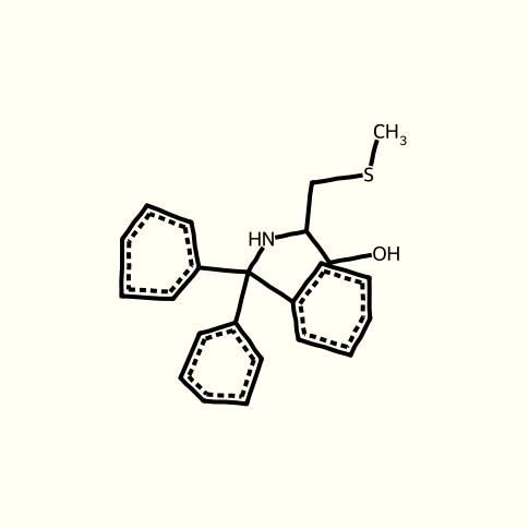 CSCC(CO)NC(c1ccccc1)(c1ccccc1)c1ccccc1